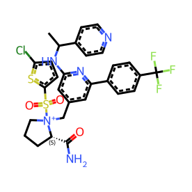 CC(Nc1cc(C[N+]2(S(=O)(=O)c3ccc(Cl)s3)CCC[C@H]2C(N)=O)cc(-c2ccc(C(F)(F)F)cc2)n1)c1ccncc1